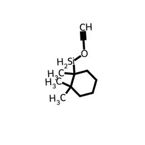 C#CO[SiH2]C1(C)CCCCC1(C)C